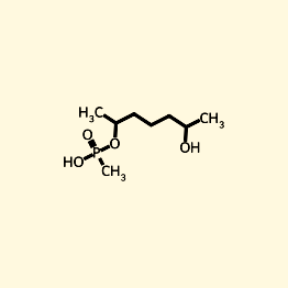 CC(O)CCCC(C)OP(C)(=O)O